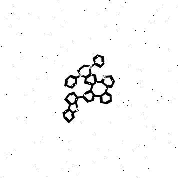 c1ccc(N2CCN(c3ccccc3)c3cc4c(cc32)-c2cc(-c3cccc5c3sc3ccccc35)ccc2-c2ccccc2-c2cccnc2-4)cc1